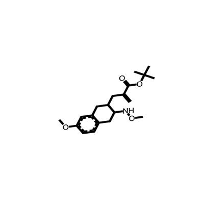 C=C(CC1Cc2cc(OC)ccc2CC1NOC)C(=O)OC(C)(C)C